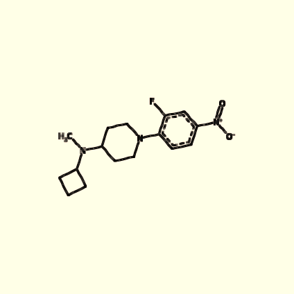 CN(C1CCC1)C1CCN(c2ccc([N+](=O)[O-])cc2F)CC1